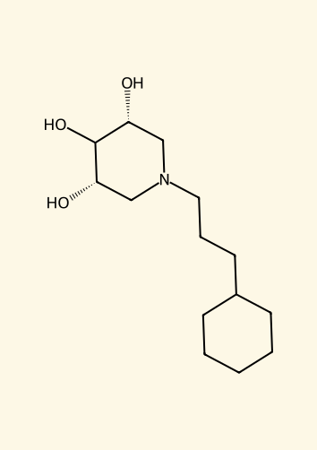 OC1[C@H](O)CN(CCCC2CCCCC2)C[C@@H]1O